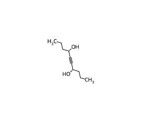 CCCC(O)C#CC(O)CCC